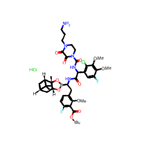 COc1c(F)cc(C(NC(=O)N2CCN(CCCN)C(=O)C2=O)C(=O)NC(Cc2ccc(F)c(C(=O)OC(C)(C)C)c2OC)B2O[C@@H]3C[C@@H]4C[C@@H](C4(C)C)[C@]3(C)O2)c(Cl)c1OC.Cl